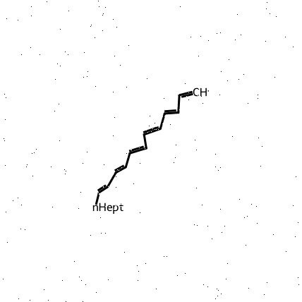 [CH]=C/C=C/C=C/C=C/C=C/C=C/CCCCCCC